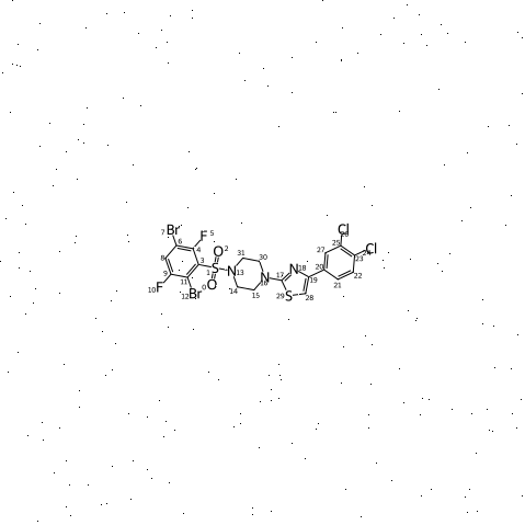 O=S(=O)(c1c(F)c(Br)cc(F)c1Br)N1CCN(c2nc(-c3ccc(Cl)c(Cl)c3)cs2)CC1